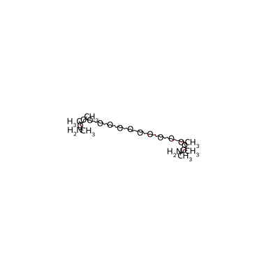 CC(N)COC(C)COC(C)COCCCCOCCCCOCCCCOCCCCOCCCCOCCCCOCCCCOCCCCOCCCCOCC(C)OCC(C)OCC(C)N